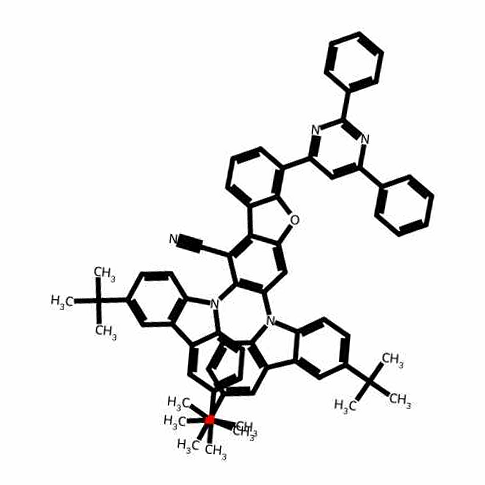 CC(C)(C)c1ccc2c(c1)c1cc(C(C)(C)C)ccc1n2-c1cc2oc3c(-c4cc(-c5ccccc5)nc(-c5ccccc5)n4)cccc3c2c(C#N)c1-n1c2ccc(C(C)(C)C)cc2c2cc(C(C)(C)C)ccc21